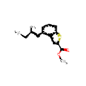 CC/C(C)=C/c1cccc2sc(C(=O)OC)cc12